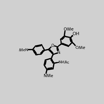 CNc1ccc(-c2oc(-c3cc(OC)c(O)c(OC)c3)nc2-c2ccc(NC)cc2NC(C)=O)cc1